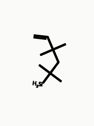 C=CC(C)(C)CC(C)(C)[SiH3]